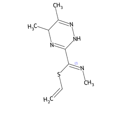 C=CS/C(=N\C)C1=NC(C)C(C)=NN1